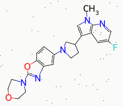 Cn1cc(C2CCN(c3ccc4oc(N5CCOCC5)nc4c3)C2)c2cc(F)cnc21